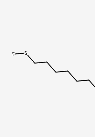 FSCCCCCCBr